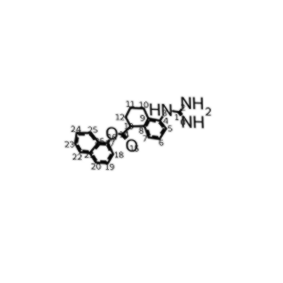 N=C(N)Nc1cccc2c1CCCC2C(=O)Oc1cccc2ccccc12